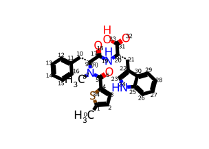 Cc1ccc(C(=O)N(C)[C@H](Cc2ccccc2)C(=O)N[C@@H](Cc2c[nH]c3ccccc23)C(=O)O)s1